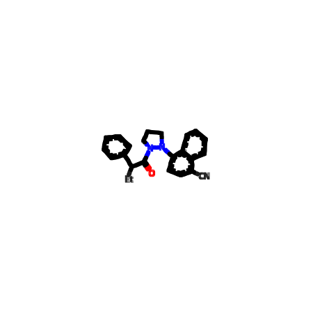 CCC(C(=O)N1CCCN1c1ccc(C#N)c2ccccc12)c1ccccc1